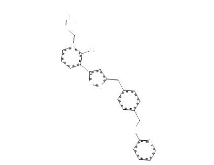 Nc1c(-c2cc(Cc3ccc(COc4ccccn4)cc3)no2)ccc[n+]1COP